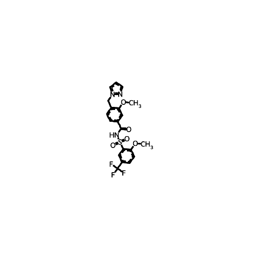 COc1cc(C(=O)NS(=O)(=O)c2cc(C(F)(F)F)ccc2OC)ccc1Cn1cccn1